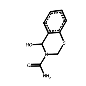 NC(=O)N1CSc2ccccc2C1O